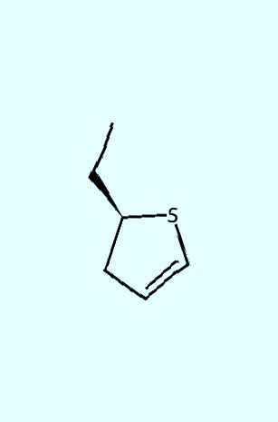 CC[C@@H]1CC=CS1